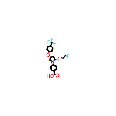 O=C(O)c1ccc(N2C[C@H](Oc3ccc(C(F)(F)F)cc3)C[C@H]2COCCF)cc1